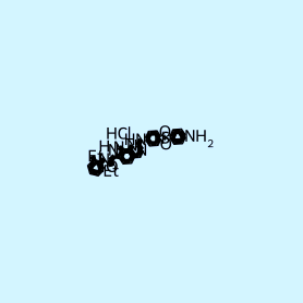 CCc1cccc(CC)c1NC(=O)c1nn(C)c2c1CCc1cnc(NC3CCN(S(=O)(=O)c4ccc(N)cc4)CC3)nc1-2.Cl